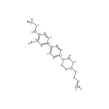 C=CCCC1CCC(c2ccc(-c3ccc(OCC)c(F)c3)cc2)OC1